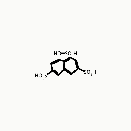 O=S(=O)(O)O.O=S(=O)(O)c1ccc2ccc(S(=O)(=O)O)cc2c1